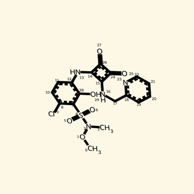 CON(C)S(=O)(=O)c1c(Cl)ccc(Nc2c(NCc3ccccn3)c(=O)c2=O)c1O